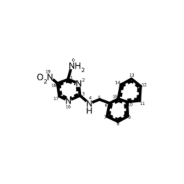 Nc1nc(NCc2cccc3ccccc23)ncc1[N+](=O)[O-]